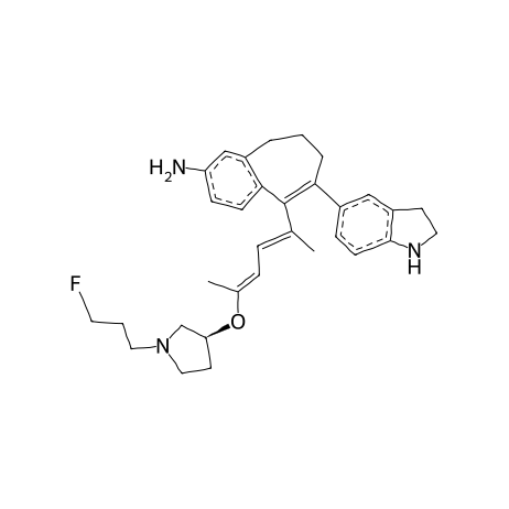 C/C(=C\C=C(/C)C1=C(c2ccc3c(c2)CCN3)CCCc2cc(N)ccc21)O[C@H]1CCN(CCCF)C1